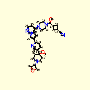 COC1(c2ccc(-c3cc4c(N5CCN(C(=O)[C@H]6C[C@H](C#N)C6)CC5)ccnn4c3)nc2)CCN(C2COC2)CC1